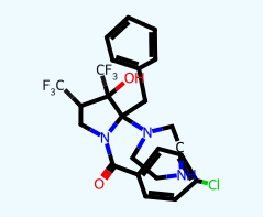 O=C(c1ccc(Cl)cc1)N1CC(C(F)(F)F)C(O)(C(F)(F)F)C1(Cc1ccccc1)N1CCNCC1